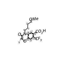 COCCCCN1C(=O)[C@@H](C)Oc2cc(C(F)(F)F)c(C(=O)O)cc21